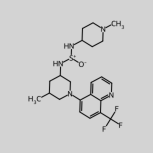 CC1CC(N[S+]([O-])NC2CCN(C)CC2)CN(c2ccc(C(F)(F)F)c3ncccc23)C1